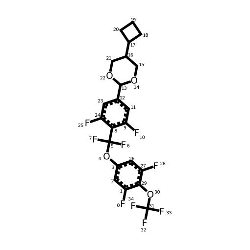 Fc1cc(OC(F)(F)c2c(F)cc(C3OCC(C4CCC4)CO3)cc2F)cc(F)c1OC(F)(F)F